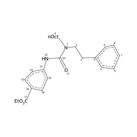 CCCCCCCCN(CCc1ccccc1)C(=O)Nc1ccc(C(=O)OCC)cc1